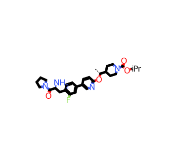 CC(C)OC(=O)N1CCC([C@@H](C)Oc2ccc(-c3ccc(C[C@H](N)C(=O)N4CCCC4)c(F)c3)cn2)CC1